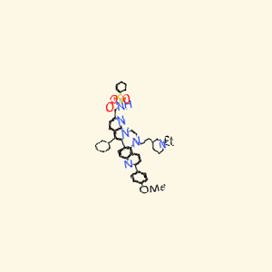 CCN1CCCC(CCN2CCn3c(c(C4CCCCC4)c4ccc(C(=O)NS(=O)(=O)c5ccccc5)nc43)-c3ccc4nc(-c5ccc(OC)cc5)ccc4c32)C1